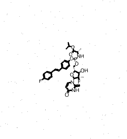 C=C1NC(=O)C=CN1[C@@H]1O[C@H](COP(N[C@@H](C)C(=O)OC(C)C)Oc2ccc(/C=C/c3ccc(F)cc3)cc2)[C@@H](O)[C@@]1(C)F